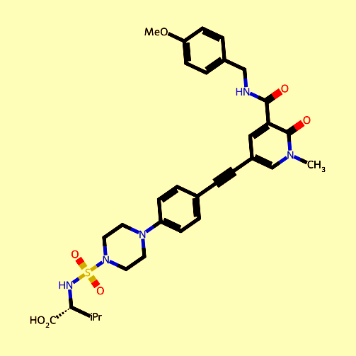 COc1ccc(CNC(=O)c2cc(C#Cc3ccc(N4CCN(S(=O)(=O)N[C@@H](C(=O)O)C(C)C)CC4)cc3)cn(C)c2=O)cc1